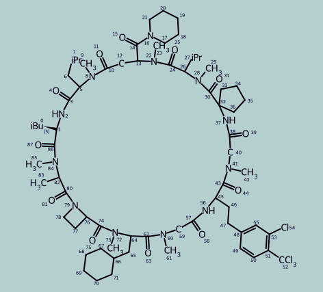 CC[C@H](C)C1NC(=O)C(CC(C)C)N(C)C(=O)CC(C(=O)N2CCCCC2)N(C)C(=O)C(C(C)C)N(C)C(=O)C2(CCCC2)NC(=O)CN(C)C(=O)C(CCc2ccc(C(Cl)(Cl)Cl)c(Cl)c2)NC(=O)CN(C)C(=O)C(CC2CCCCC2)N(C)C(=O)C2CCN2C(=O)C(C)N(C)C1=O